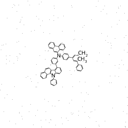 C=C/C=C(\C=C(/C)c1ccccc1)c1ccc(N(c2cccc(-c3cccc4c3c3ccc5ccccc5c3n4-c3ccccc3)c2)c2cc3ccccc3c3ccccc23)cc1